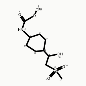 CC(C)(C)OC(=O)NC1CCC(C(O)CS(C)(=O)=O)CC1